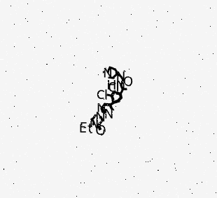 CCN1CCN(c2ncc(-c3ccc(C(C)NC(=O)N(C)C4CCN(C)CC4)c(Cl)c3Cl)cn2)CC1=O